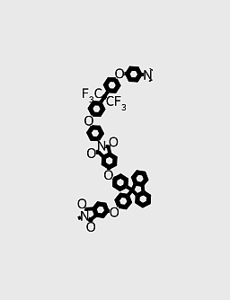 CN1C(=O)c2ccc(Oc3ccc(C4(c5ccc(Oc6ccc7c(c6)C(=O)N(c6ccc(Oc8ccc(C(c9ccc(Oc%10ccc(N(C)C)cc%10)cc9)(C(F)(F)F)C(F)(F)F)cc8)cc6)C7=O)cc5)c5ccccc5-c5ccccc54)cc3)cc2C1=O